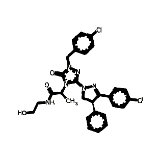 CC(C(=O)NCCO)n1c(N2C[C@H](c3ccccc3)C(c3ccc(Cl)cc3)=N2)nn(Cc2ccc(Cl)cc2)c1=O